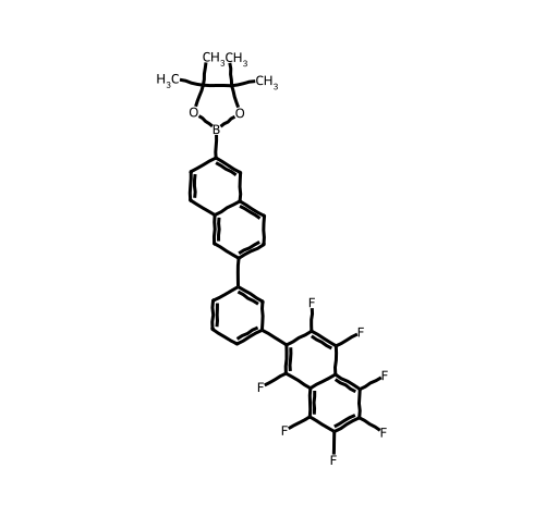 CC1(C)OB(c2ccc3cc(-c4cccc(-c5c(F)c(F)c6c(F)c(F)c(F)c(F)c6c5F)c4)ccc3c2)OC1(C)C